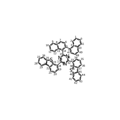 c1ccc2c(-c3ccc4ccccc4c3-c3nc(-c4cccc5c4sc4ccccc45)nc(-c4cccc5c4sc4ccccc45)n3)cccc2c1